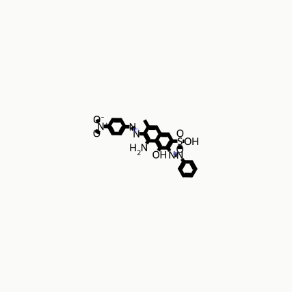 Cc1cc2cc(S(=O)(=O)O)c(/N=N/c3ccccc3)c(O)c2c(N)c1/N=N/c1ccc([N+](=O)[O-])cc1